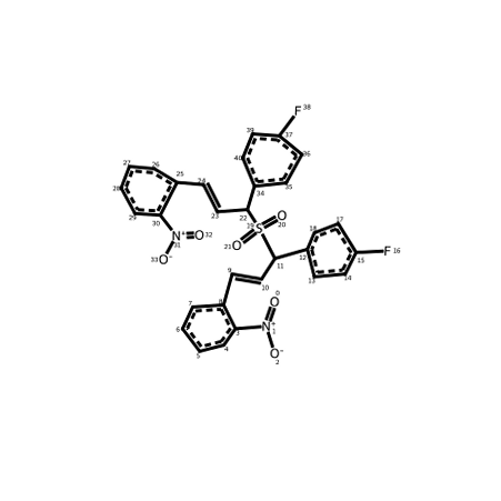 O=[N+]([O-])c1ccccc1C=CC(c1ccc(F)cc1)S(=O)(=O)C(C=Cc1ccccc1[N+](=O)[O-])c1ccc(F)cc1